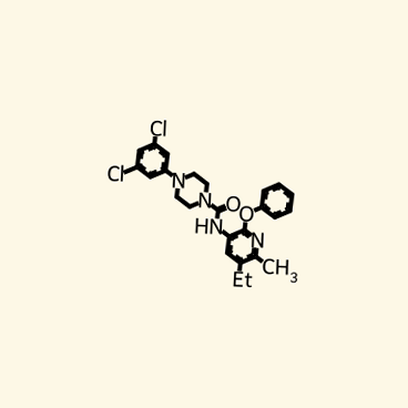 CCc1cc(NC(=O)N2CCN(c3cc(Cl)cc(Cl)c3)CC2)c(Oc2ccccc2)nc1C